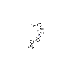 Cc1cccc(NC(=S)N/N=C/c2ccc(-c3cccc([N+](=O)[O-])c3)o2)c1